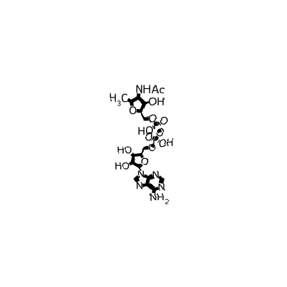 CC(=O)NC1C(C)O[C@H](COP(=O)(O)OP(=O)(O)OC[C@H]2O[C@@H](n3cnc4c(N)ncnc43)C(O)C2O)[C@@H]1O